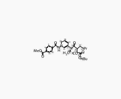 COC(=O)c1ccc(C(=O)NN2C=C(N(C(=O)C(CC(=O)OC(C)(C)C)CC(C)C)[C@@H](C)C(=O)O)C=CC2)cc1